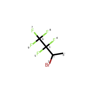 [CH2]C(Br)C(F)(F)C(F)(F)F